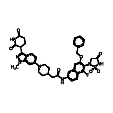 Cn1nc([C@@H]2CCC(=O)NC2=O)c2ccc(N3CCC(CC(=O)Nc4ccc5c(F)c(N6CC(=O)NS6(=O)=O)c(OCc6ccccc6)cc5c4)CC3)cc21